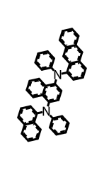 c1ccc(N(c2cccc3ccccc23)c2ccc(N(c3ccccc3)c3cccc4cc5ccccc5cc34)c3ccccc23)cc1